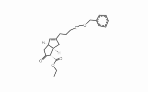 CCOC(=O)[C@@H]1C(=O)C[C@H]2C=C(CCCCCOCc3ccccc3)C[C@@H]12